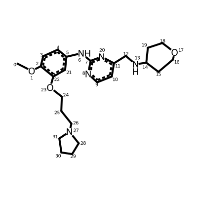 COc1ccc(Nc2nccc(CNC3CCOCC3)n2)cc1OCCCN1CCCC1